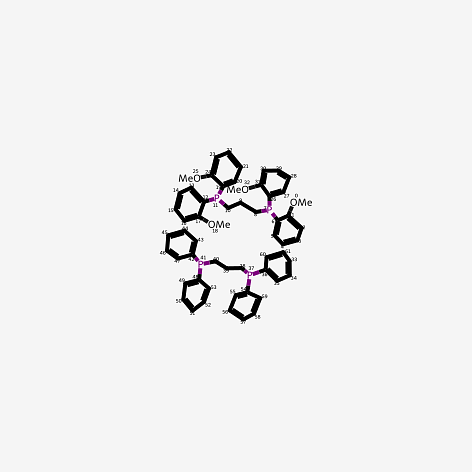 COc1ccccc1P(CCCP(c1ccccc1OC)c1ccccc1OC)c1ccccc1OC.c1ccc(P(CCCP(c2ccccc2)c2ccccc2)c2ccccc2)cc1